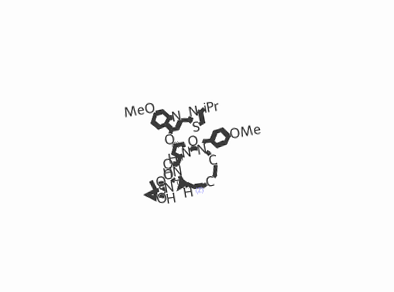 COc1ccc(CN2CCCCC/C=C\[C@@H]3C[C@@]3(C(=O)NS(=O)(=O)C3(C)CC3)NC(=O)[C@@H]3C[C@@H](Oc4cc(-c5nc(C(C)C)cs5)nc5cc(OC)ccc45)CN3C2=O)cc1